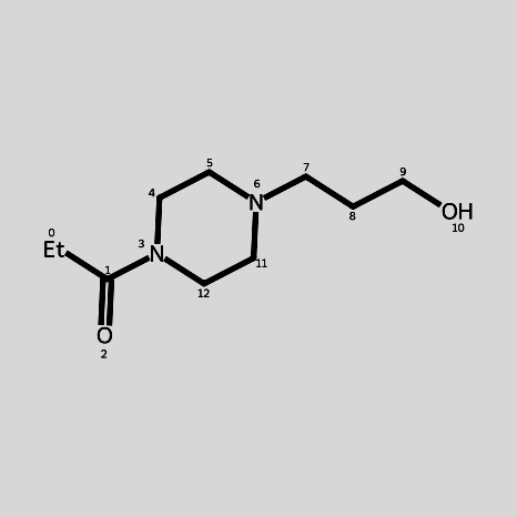 CCC(=O)N1CCN(CCCO)CC1